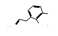 C=CCc1cccc(F)c1C(=O)O